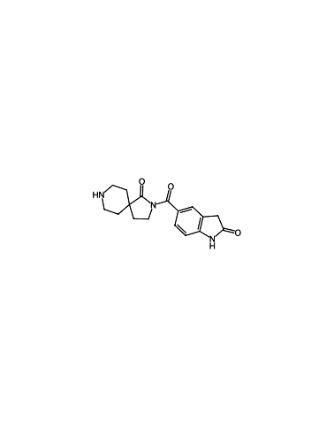 O=C1Cc2cc(C(=O)N3CCC4(CCNCC4)C3=O)ccc2N1